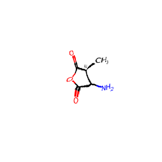 C[C@@H]1C(=O)OC(=O)C1N